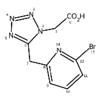 O=C(O)Cn1nnnc1Cc1cccc(Br)n1